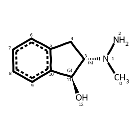 CN(N)[C@H]1Cc2ccccc2[C@@H]1O